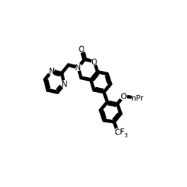 CCCOc1cc(C(F)(F)F)ccc1-c1ccc2c(c1)CN(Cc1ncccn1)C(=O)O2